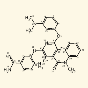 CN(C)c1cccc(Oc2nc(Oc3cc(C(=N)N)ccc3N)c(F)c(C(=O)N(C)c3ccccc3)c2F)c1